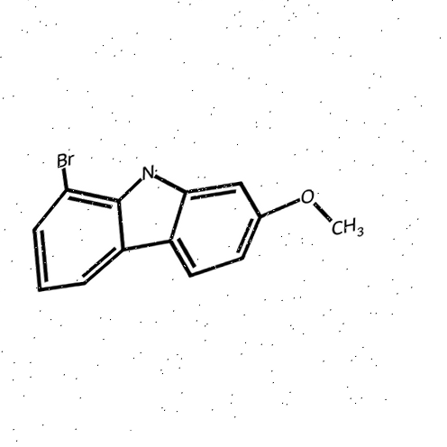 COc1ccc2c(c1)[N]c1c(Br)cccc1-2